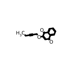 CCC#CCOC1=CC(=O)c2ccccc2C1=O